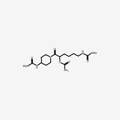 CNC(=O)NCCCCC(OC(N)=O)C(=O)N1CCC(NC(=O)NC)CC1